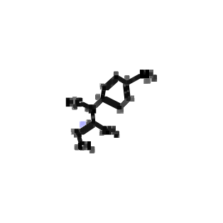 C/N=C(\N)N(C)c1ccc(N)cc1